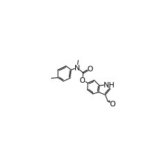 Cc1ccc(N(C)C(=O)Oc2ccc3c(C=O)c[nH]c3c2)cc1